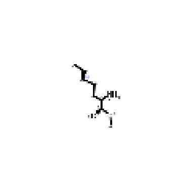 C/C=C/CCC(N)C(=O)OC